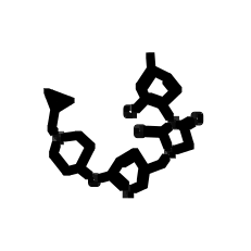 Cc1ccc(N2C(=O)CN(Cc3ccc(OC4CCN(CC5CC5)CC4)nc3)C2=O)c(Cl)c1